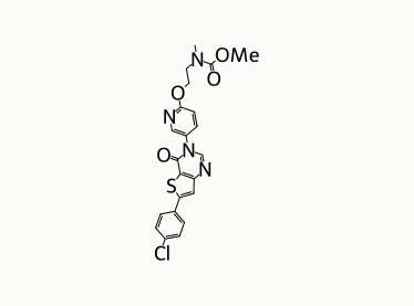 COC(=O)N(C)CCOc1ccc(-n2cnc3cc(-c4ccc(Cl)cc4)sc3c2=O)cn1